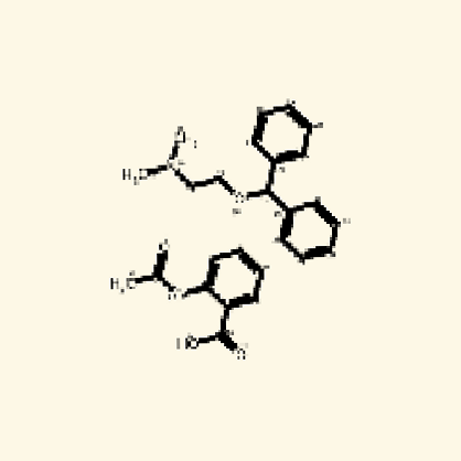 CC(=O)Oc1ccccc1C(=O)O.CN(C)CCOC(c1ccccc1)c1ccccc1